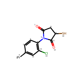 CC(C)c1ccc(N2C(=O)CC(S)C2=O)c(Cl)c1